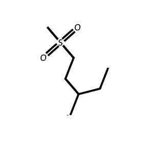 [CH2]C(CC)CCS(C)(=O)=O